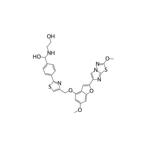 COc1cc(OCc2csc(-c3ccc(C(O)NCCO)cc3)n2)c2cc(-c3cn4nc(OC)sc4n3)oc2c1